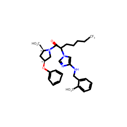 O=C(O)[C@@H]1C[C@H](Oc2ccccc2)CN1C(=O)C(CCCCC(F)(F)F)n1cnc(NCc2ccccc2S(=O)(=O)O)c1